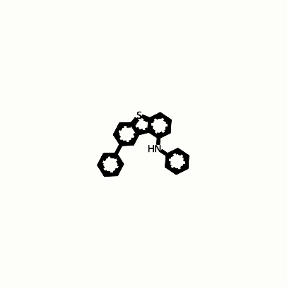 c1ccc(Nc2cccc3sc4ccc(-c5ccccc5)cc4c23)cc1